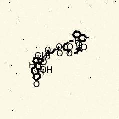 CCC(C)(C)C(=O)O[C@@H]1C[C@H](C)C=C2C=C[C@@H](C)[C@@H](CC[C@@H]3C[C@H](OC(=O)CCC(=O)OCC(=O)[C@@]4(O)CC[C@H]5[C@@H]6CCC7=CC(=O)CC[C@]7(C)[C@H]6[C@@H](O)C[C@@]54C)CC(=O)O3)[C@@H]21